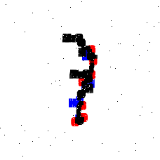 COc1ccc(C2=CN3C(=O)c4cc(C)c(OCCCCCOc5cc6c(cc5OC)C(=O)N5C=C(c7ccc(/C=N/NC(=O)CCCCCN8C(=O)C=CC8=O)cc7)C[C@H]5C=N6)cc4N=C[C@@H]3C2)cc1